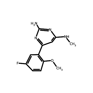 CNc1cc(-c2cc(F)ccc2OC)nc(N)n1